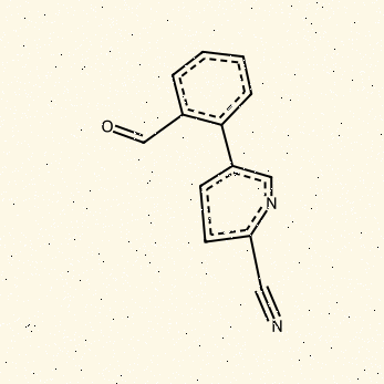 N#Cc1ccc(-c2ccccc2C=O)cn1